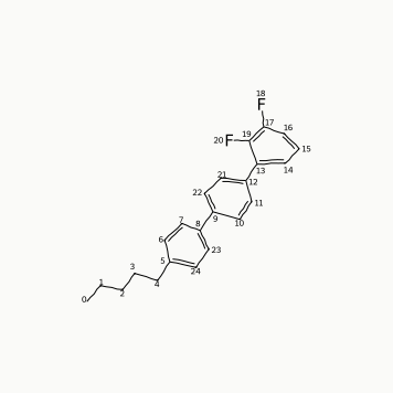 CCCCCc1ccc(-c2ccc(-c3cccc(F)c3F)cc2)cc1